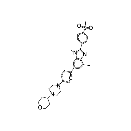 Cc1cc(-c2ccc(N3CCN(C4CCOCC4)CC3)cc2)cc2c1nc(-c1ccc(S(C)(=O)=O)cc1)n2C